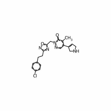 Cc1c(C2=CCNC2)cnn(Cc2nc(CCc3ccc(Cl)cc3)no2)c1=O